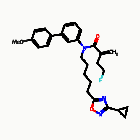 C=C(CCF)C(=O)N(CCCCCc1nc(C2CC2)no1)c1cccc(-c2ccc(OC)cc2)c1